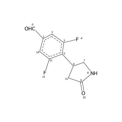 O=Cc1cc(F)c(C2CNC(=O)C2)c(F)c1